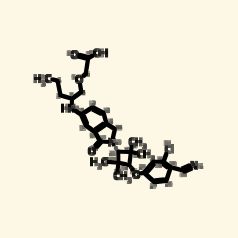 CCCC(COCC(=O)O)Nc1ccc2c(c1)C(=O)N([C@H]1C(C)(C)[C@H](Oc3ccc(C#N)c(Cl)c3)C1(C)C)C2